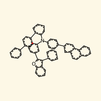 c1ccc(-c2ccc(-c3ccccc3N(c3ccc(-c4ccc5c(ccc6ccccc65)c4)cc3)c3cccc(-c4oc5ccccc5c4-c4ccccc4)c3)cc2)cc1